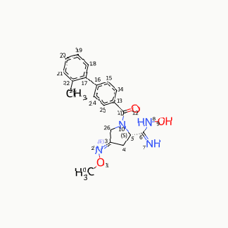 CO/N=C1\C[C@@H](C(=N)NO)N(C(=O)c2ccc(-c3ccccc3C)cc2)C1